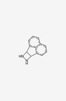 c1cc2c3c(cccc3c1)C1NNC21